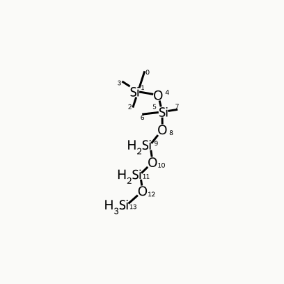 C[Si](C)(C)O[Si](C)(C)O[SiH2]O[SiH2]O[SiH3]